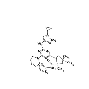 CC1(C)CN(c2nc(Nc3cc(C4CC4)[nH]n3)nc(N3CCOCC3)n2)[C@](C)(C(=O)Nc2nccs2)C1